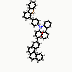 c1ccc(-c2ccccc2N(c2ccc(-c3ccc4c(ccc5ccc6ccccc6c54)c3)cc2)c2ccc(-c3cccc4c3sc3ccccc34)cc2)cc1